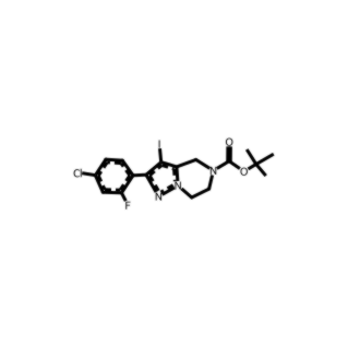 CC(C)(C)OC(=O)N1CCn2nc(-c3ccc(Cl)cc3F)c(I)c2C1